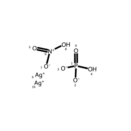 O=P([O-])([O-])O.O=[N+]([O-])O.[Ag+].[Ag+]